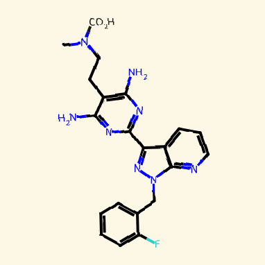 CN(CCc1c(N)nc(-c2nn(Cc3ccccc3F)c3ncccc23)nc1N)C(=O)O